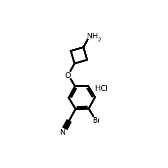 Cl.N#Cc1cc(OC2CC(N)C2)ccc1Br